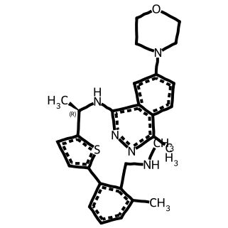 CNCc1c(C)cccc1-c1ccc([C@@H](C)Nc2nnc(C)c3ccc(N4CCOCC4)cc23)s1